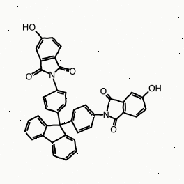 O=C1c2ccc(O)cc2C(=O)N1c1ccc(C2(c3ccc(N4C(=O)c5ccc(O)cc5C4=O)cc3)c3ccccc3-c3ccccc32)cc1